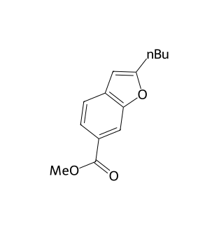 CCCCc1cc2ccc(C(=O)OC)cc2o1